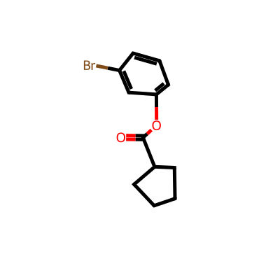 O=C(Oc1cccc(Br)c1)C1CCCC1